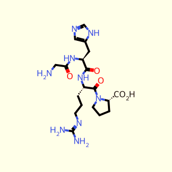 NCC(=O)N[C@@H](Cc1cnc[nH]1)C(=O)N[C@@H](CCCN=C(N)N)C(=O)N1CCC[C@H]1C(=O)O